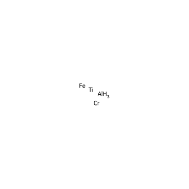 [AlH3].[Cr].[Fe].[Ti]